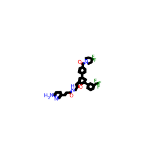 Nc1ccc(C=CC(=O)NCc2cc3cc(-c4ccc(C(=O)N5CCC(F)(F)CC5)cc4)cc(-c4cccc(C(F)(F)F)c4)c3o2)cn1